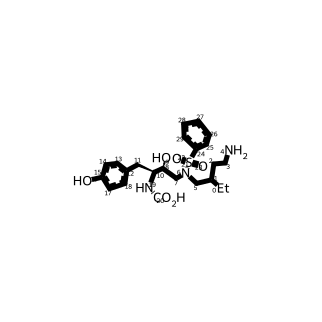 CCC(CCN)CN(C[C@@H](O)[C@H](Cc1ccc(O)cc1)NC(=O)O)S(=O)(=O)c1ccccc1